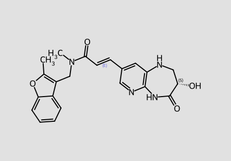 Cc1oc2ccccc2c1CN(C)C(=O)/C=C/c1cnc2c(c1)NC[C@H](O)C(=O)N2